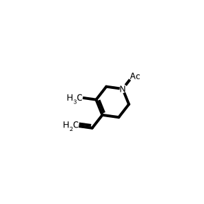 C=CC1=C(C)CN(C(C)=O)CC1